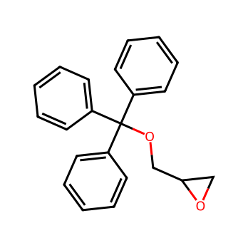 c1ccc(C(OCC2CO2)(c2ccccc2)c2ccccc2)cc1